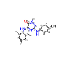 Cc1cc(C)c(Nc2nc(Nc3ccc(C#N)cc3)nn(C)c2=O)c(C)c1